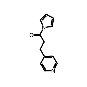 O=C([CH]Cc1ccncc1)n1cccc1